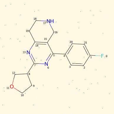 Fc1ccc(-c2nc(C3CCOC3)nc3c2CNCC3)cc1